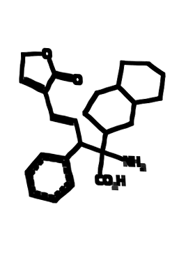 NC(C(=O)O)(C1CCC2CCCCC2C1)C(/C=C/C1=CCOC1=O)c1ccccc1